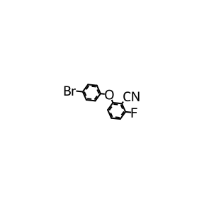 N#Cc1c(F)cccc1Oc1ccc(Br)cc1